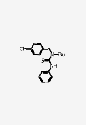 CCC(C)N(Cc1ccc(Cl)cc1)C(=S)Nc1ccccc1